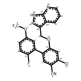 N#Cc1cc(-c2cc(OC(F)(F)F)ccc2F)c(OCc2n[nH]c3ncccc23)cc1Cl